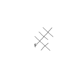 CC(C)(C)C(C)(C)C(C)(F)C(C)(C)C